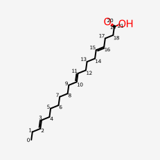 CCC=CCCCCCCC=CCCCC=CCCC(=O)O